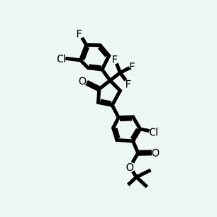 CC(C)(C)OC(=O)c1ccc(C2=CC(=O)C(c3ccc(F)c(Cl)c3)(C(F)(F)F)C2)cc1Cl